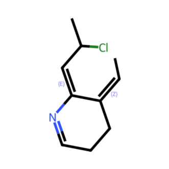 C/C=C1/CCC=N/C1=C/C(C)Cl